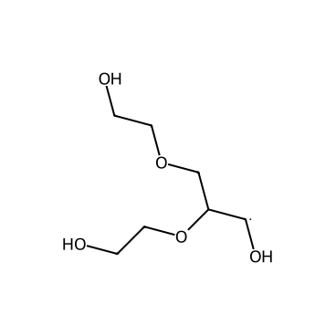 O[CH]C(COCCO)OCCO